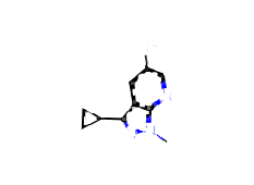 CC(C)c1cnc2c(c1)c(C1CC1)nn2C